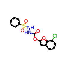 O=C(NNS(=O)(=O)c1ccccc1)Oc1cc2cccc(Cl)c2o1